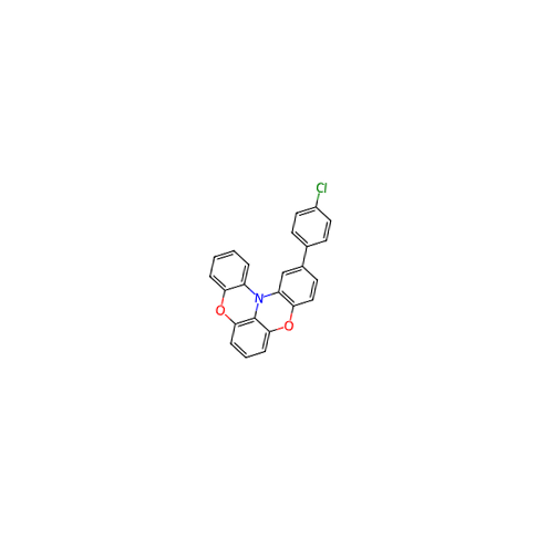 Clc1ccc(-c2ccc3c(c2)N2c4ccccc4Oc4cccc(c42)O3)cc1